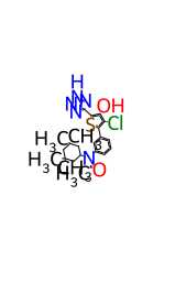 CC(=O)N(c1cccc(-c2sc(-c3nn[nH]n3)c(O)c2Cl)c1)C1CC(C)(C)CC(C)(C)C1